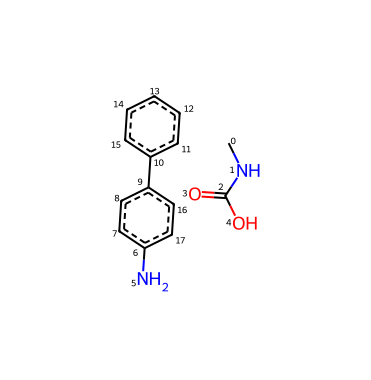 CNC(=O)O.Nc1ccc(-c2ccccc2)cc1